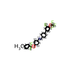 Cc1ccc(C(F)(F)OC2CCC(/C=C/C3CCC(c4ccc(OC(F)(F)F)c(F)c4)CC3)CC2)cc1